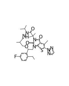 CCc1ccc(F)cc1C(Cn1c(=O)n(C(C)(C)C(=O)NC(C)C)c(=O)c2c(C)c(-n3nccn3)sc21)OCC(C)C#N